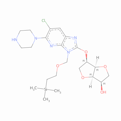 C[Si](C)(C)CCOCn1c(O[C@@H]2CO[C@H]3[C@@H]2OC[C@H]3O)nc2cc(Cl)c(N3CCNCC3)nc21